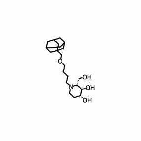 OC[C@@H]1[C@@H](O)[C@H](O)CCN1CCCCOCC12CC3CC(CC(C3)C1)C2